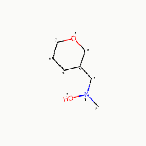 CN(O)CC1CCCOC1